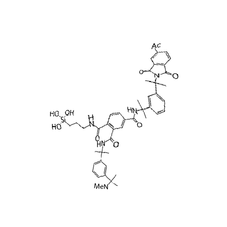 CNC(C)(C)c1cccc(C(C)(C)NC(=O)c2cc(C(=O)NC(C)(C)c3cccc(C(C)(C)N4C(=O)c5ccc(C(C)=O)cc5C4=O)c3)ccc2C(=O)NCCC[Si](O)(O)O)c1